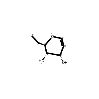 CC[C@H]1OC=C[C@H](O)[C@@H]1O